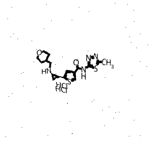 Cc1nnc(NC(=O)c2csc([C@H]3C[C@@H]3NCC3CCOCC3)c2)s1.Cl.Cl